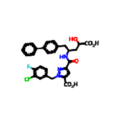 O=C(NC(Cc1ccc(-c2ccccc2)cc1)CC(O)C(=O)O)c1cc(C(=O)O)n(Cc2ccc(F)c(Cl)c2)n1